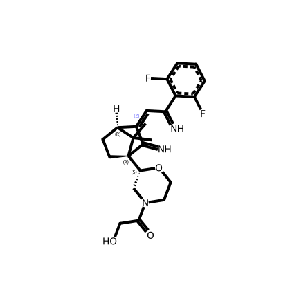 CC1(C)[C@H]2CC[C@]1([C@H]1CN(C(=O)CO)CCO1)C(=N)/C2=C\C(=N)c1c(F)cccc1F